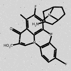 Cc1c(F)c(N2C3CCC2CC(N)C3)c(F)c2c1c(=O)c(C(=O)O)cn2-c1ccc(F)cc1F